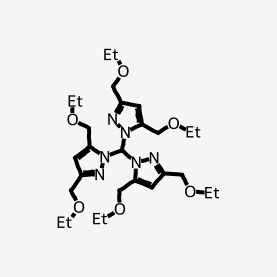 CCOCc1cc(COCC)n(C(n2nc(COCC)cc2COCC)n2nc(COCC)cc2COCC)n1